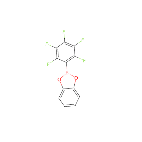 Fc1c(F)c(F)c(B2Oc3ccccc3O2)c(F)c1F